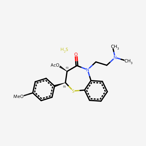 COc1ccc([C@@H]2Sc3ccccc3N(CCN(C)C)C(=O)[C@@H]2OC(C)=O)cc1.S